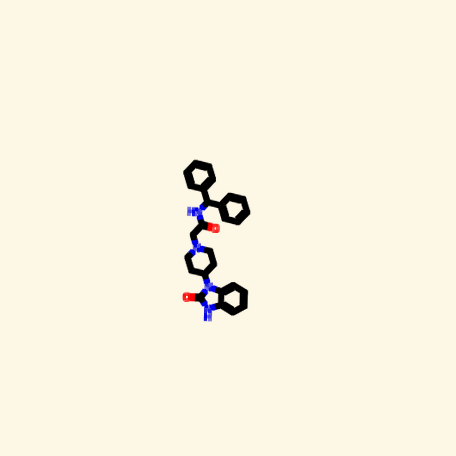 O=C(CN1CCC(n2c(=O)[nH]c3ccccc32)CC1)NC(c1ccccc1)c1ccccc1